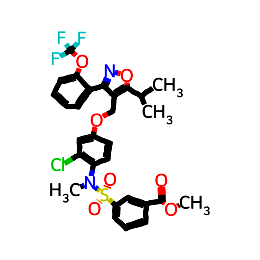 COC(=O)c1cccc(S(=O)(=O)N(C)c2ccc(OCc3c(-c4ccccc4OC(F)(F)F)noc3C(C)C)cc2Cl)c1